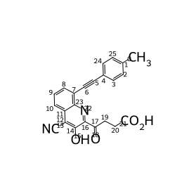 Cc1ccc(C#Cc2cccc3c(C#N)c(O)c(C(=O)CCC(=O)O)nc23)cc1